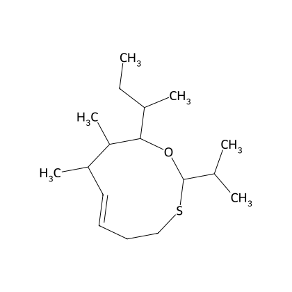 CCC(C)C1OC(C(C)C)SCC/C=C/C(C)C1C